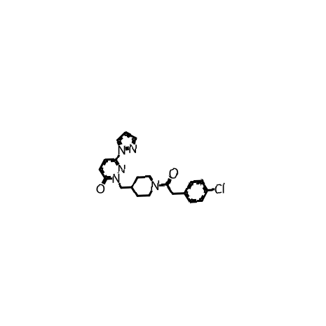 O=C(Cc1ccc(Cl)cc1)N1CCC(Cn2nc(-n3cccn3)ccc2=O)CC1